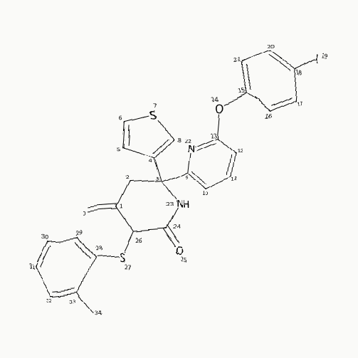 C=C1CC(c2ccsc2)(c2cccc(Oc3ccc(I)cc3)n2)NC(=O)C1Sc1ccccc1C